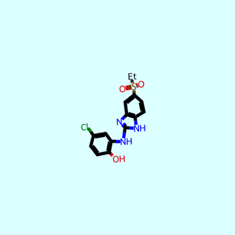 CCS(=O)(=O)c1ccc2[nH]c(Nc3cc(Cl)ccc3O)nc2c1